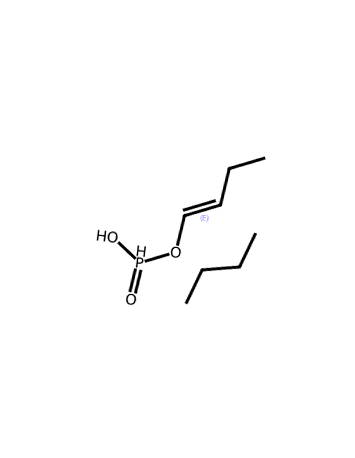 CC/C=C/O[PH](=O)O.CCCC